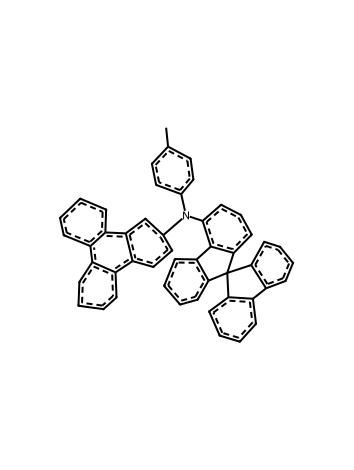 Cc1ccc(N(c2ccc3c4ccccc4c4ccccc4c3c2)c2cccc3c2-c2ccccc2C32c3ccccc3-c3ccccc32)cc1